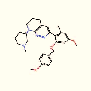 COc1ccc(COc2cc(OC)cc(C)c2-c2cc3c(nn2)N([C@@H]2CCCN(C)C2)CCC3)cc1